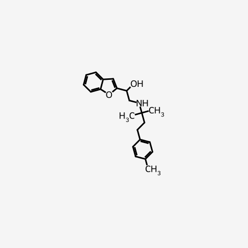 Cc1ccc(CCC(C)(C)NCC(O)c2cc3ccccc3o2)cc1